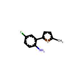 Cc1ccc(-c2cc(F)ccc2N)s1